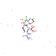 NC(=O)Nc1ccc(O)c(-c2ccccc2C(F)(F)F)c1C(=O)O